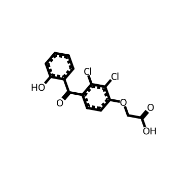 O=C(O)COc1ccc(C(=O)c2ccccc2O)c(Cl)c1Cl